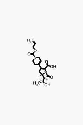 C=CCOC(=O)N1CC=C(C2=C(C(=O)O)N3C(=O)[C@H]([C@@H](C)O)[C@H]3C2)CC1